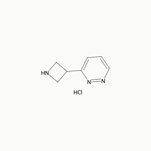 Cl.c1cnnc(C2CNC2)c1